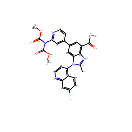 COC(=O)c1cc(-c2ccnc(N(C(=O)OC(C)(C)C)C(=O)OC(C)(C)C)c2)cc2c1nc(C)n2-c1ccnc2cc(F)ccc12